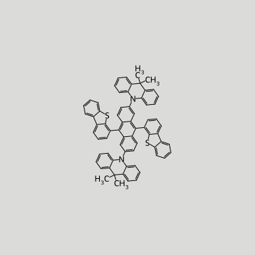 CC1(C)c2ccccc2N(c2ccc3c(-c4cccc5c4sc4ccccc45)c4cc(N5c6ccccc6C(C)(C)c6ccccc65)ccc4c(-c4cccc5c4sc4ccccc45)c3c2)c2ccccc21